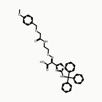 COc1ccc(COCC(=O)NCCON=C(C(=O)O)c2csc(NC(c3ccccc3)(c3ccccc3)c3ccccc3)n2)cc1